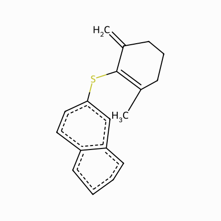 C=C1CCCC(C)=C1Sc1ccc2ccccc2c1